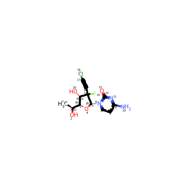 C[C@H](O)[C@H]1O[C@@H](n2ccc(N)nc2=O)C(F)(C#CCl)[C@H]1O